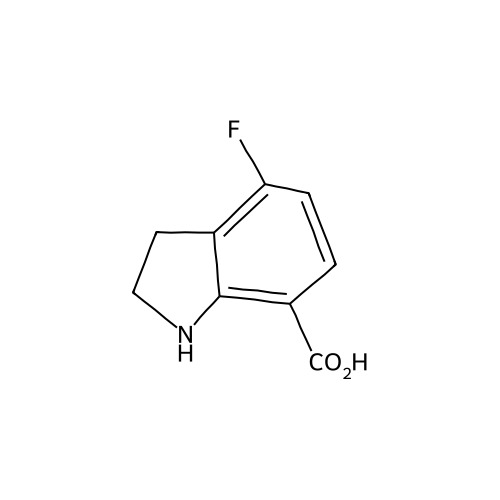 O=C(O)c1ccc(F)c2c1NCC2